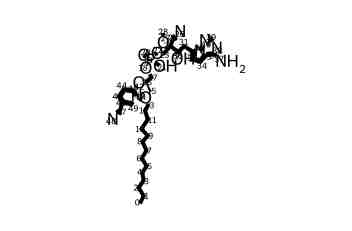 CCCCCCCCCCCCCCOC[C@H](COP(=O)(O)OCC(C#N)(OC)[C@@H](O)Cc1ccc2c(N)ncnn12)Oc1ccc(C#N)cn1